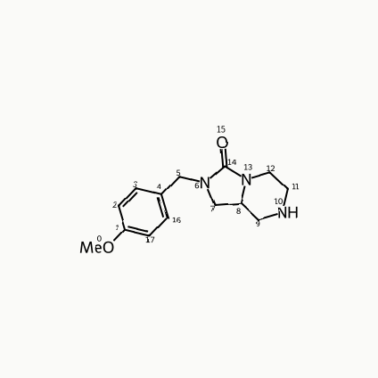 COc1ccc(CN2CC3CNCCN3C2=O)cc1